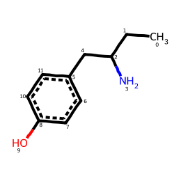 CCC(N)Cc1ccc(O)cc1